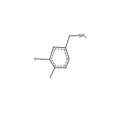 [SiH3]Cc1ccc(I)c(I)c1